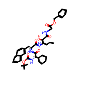 CCCC(NC(=O)[C@H](Cc1ccc2ccccc2c1)NC(=O)[C@@H](NC(=O)OC(C)(C)C)C1CCCCC1)C(O)C(=O)NCC(=O)OCc1ccccc1